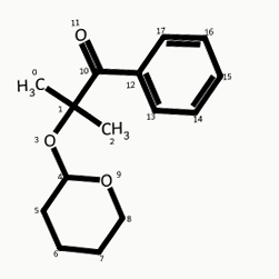 CC(C)(OC1CCCCO1)C(=O)c1ccccc1